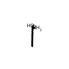 CC/C=C/C/C=C/C/C=C/C/C=C/C/C=C/CCCC(CN)CC(=O)O